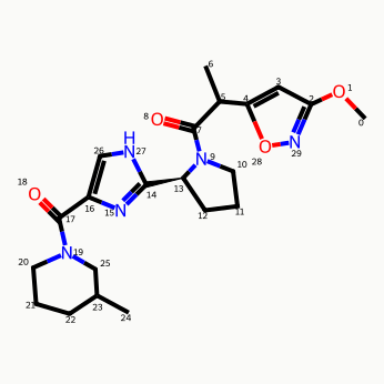 COc1cc(C(C)C(=O)N2CCC[C@H]2c2nc(C(=O)N3CCCC(C)C3)c[nH]2)on1